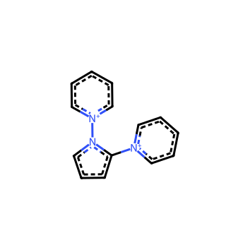 c1cc[n+](-c2cccn2-[n+]2ccccc2)cc1